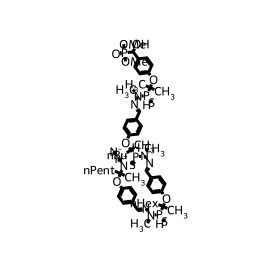 CCCCCCC(C)(Oc1ccc(/C=N/N(C)[PH](=S)C(C)(CCCC)Oc2ccc(/C=N/N(C)[PH](=S)C(C)(C)Oc3ccc(C(O)P(=O)(OC)OC)cc3)cc2)cc1)[PH](=S)N(C)/N=C/c1ccc(OC(C)(CCCCC)N=[N+]=[N-])cc1